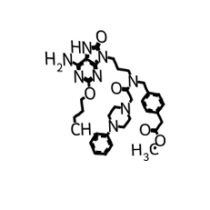 CCCCOc1nc(N)c2[nH]c(=O)n(CCCN(Cc3ccc(CC(=O)OC)cc3)C(=O)CN3CCN(c4ccccc4)CC3)c2n1